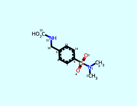 CN(C)S(=O)(=O)c1ccc(CNC(=O)O)cc1